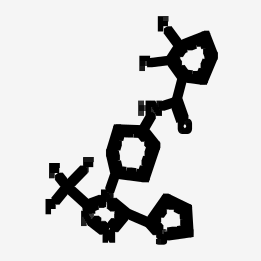 O=C(Nc1ccc(-n2c(-c3cccs3)nnc2C(F)(F)F)cc1)c1cccc(F)c1F